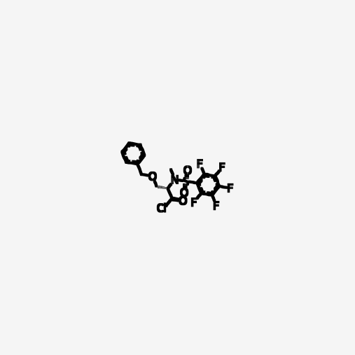 CN([C@@H](COCc1ccccc1)C(=O)Cl)S(=O)(=O)c1c(F)c(F)c(F)c(F)c1F